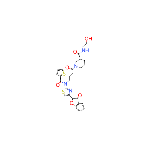 O=C(NCCO)C1CCCN(C(=O)CCCN(C(=O)c2cccs2)c2nc(C3Oc4ccccc4C3=O)cs2)C1